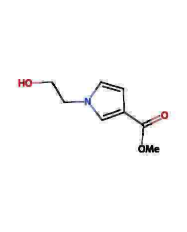 COC(=O)c1ccn(CCO)c1